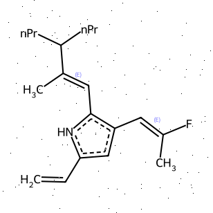 C=Cc1cc(/C=C(\C)F)c(/C=C(\C)C(CCC)CCC)[nH]1